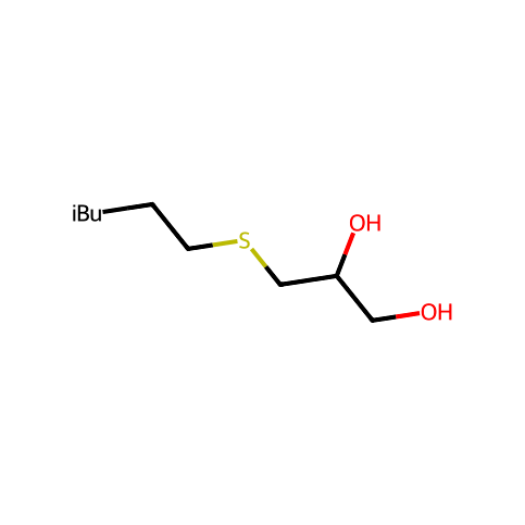 CCC(C)CCSCC(O)CO